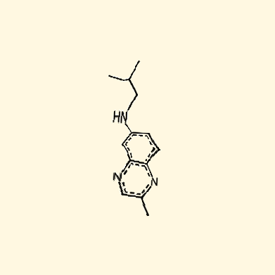 Cc1cnc2cc(NCC(C)C)ccc2n1